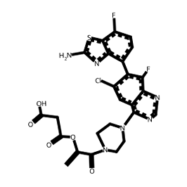 C=C(OC(=O)CC(=O)O)C(=O)N1CCN(c2ncnc3c(F)c(-c4ccc(F)c5sc(N)nc45)c(Cl)cc23)CC1